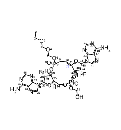 CCOCOCOP1(=O)C/C=C2/O[C@@H](n3cnc4c(N)ncnc43)[C@H](F)[C@@H]2OP(=O)(OCO)OC[C@H]2O[C@@H](n3cnc4c(N)ncnc43)[C@H](F)[C@@H]2O1